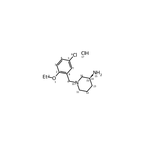 CCOc1ccc(Cl)cc1CN1CCC[C@H](N)C1.Cl